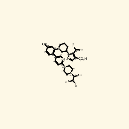 O=C(O)c1cnn(C2CCCN(c3cc(Cl)ccc3-c3ccc(N4CCN(C(F)C(F)F)CC4)nc3)C2)c1C(F)F